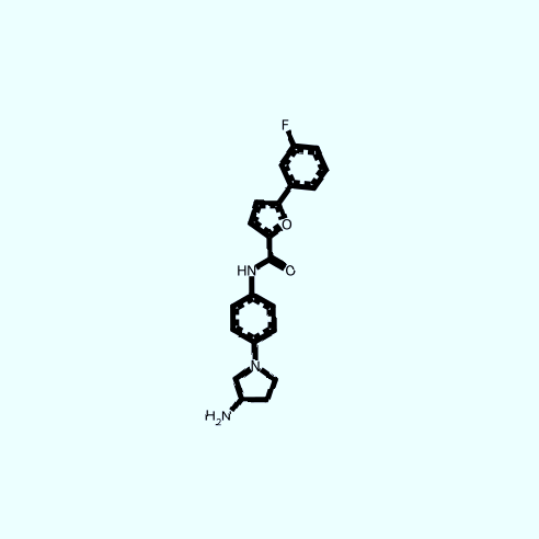 NC1CCN(c2ccc(NC(=O)c3ccc(-c4cccc(F)c4)o3)cc2)C1